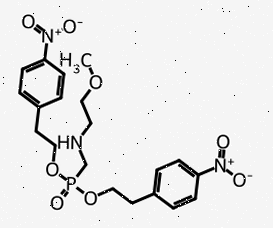 COCCNCP(=O)(OCCc1ccc([N+](=O)[O-])cc1)OCCc1ccc([N+](=O)[O-])cc1